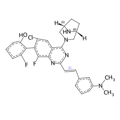 CN(C)c1cccc(/C=C/c2nc(N3C[C@H]4CC[C@@H](C3)N4)c3cc(Cl)c(-c4c(O)cccc4F)c(F)c3n2)c1